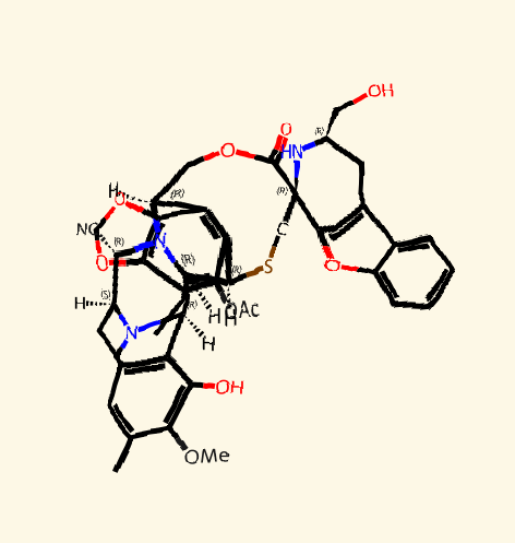 COc1c(C)cc2c(c1O)[C@@H]1[C@@H]3[C@@H]4SC[C@]5(N[C@@H](CO)Cc6c5oc5ccccc65)C(=O)OC[C@@H](c5c6c(c(C)c(OC(C)=O)c54)OCO6)N3[C@@H](C#N)[C@H](C2)N1C